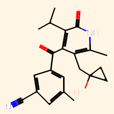 Cc1cc(C#N)cc(C(=O)c2c(CC3(O)CC3)c(C)[nH]c(=O)c2C(C)C)c1